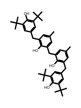 Cc1cc(Cc2cc(C(C)(C)C)c(O)c(C(C)(C)C)c2)c(O)c(Cc2cc(C)cc(Cc3cc(C(C)(C)C)c(O)c(C(C)(C)C)c3)c2O)c1